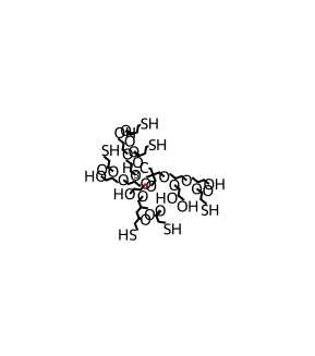 CCC(COCC(CO)OCC(COC(=O)CCS)CC(=O)CCS)(COCC(COCC(CO)OC(=O)CCS)OCC(O)CO)COCC(COCC(CO)OC(=O)CCS)OCC(COCC(CO)OC(=O)CCS)OC(=O)CCS